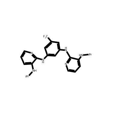 CC(C)Nc1cccnc1Nc1cc(Nc2ncccc2NC(C)C)cc(C(F)(F)F)c1